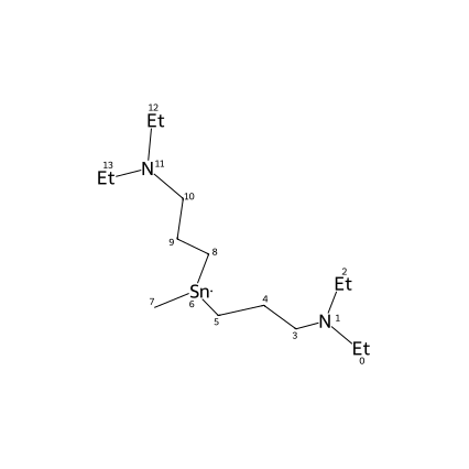 CCN(CC)CC[CH2][Sn]([CH3])[CH2]CCN(CC)CC